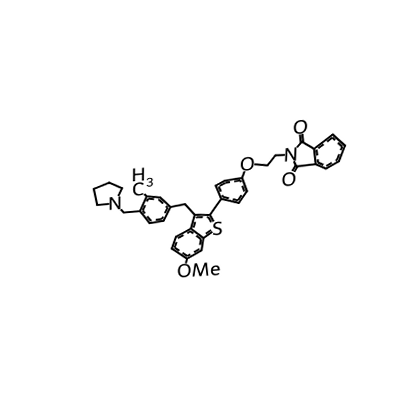 COc1ccc2c(Cc3ccc(CN4CCCC4)c(C)c3)c(-c3ccc(OCCN4C(=O)c5ccccc5C4=O)cc3)sc2c1